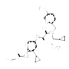 COC[C@@H](C1CC1)N(Cc1ccc(C(F)(F)F)cn1)C(=O)C(=O)Nc1cnc(NC(=O)OC(C)(C)C)c(C2CC2)c1